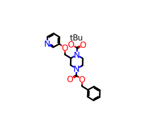 CC(C)(C)OC(=O)N1CCN(C(=O)OCc2ccccc2)CC1COc1cccnc1